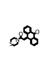 O=C1c2ccccc2C(=CC(=O)N2CCSCC2)c2ccccc21